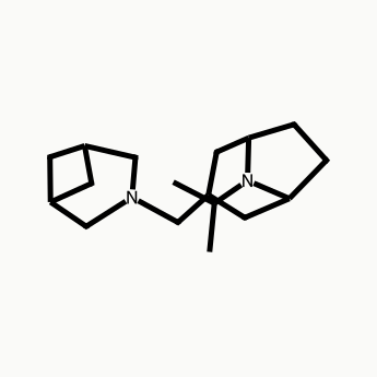 CC(C)N1C2CCC1CC(CN1CC3CC(C3)C1)C2